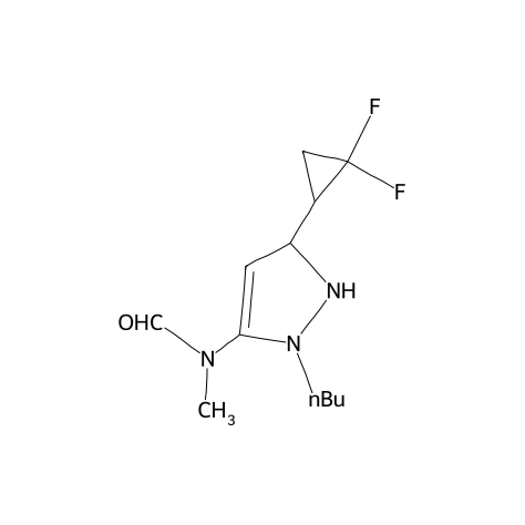 CCCCN1NC(C2CC2(F)F)C=C1N(C)C=O